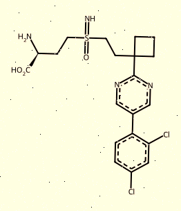 N=S(=O)(CC[C@H](N)C(=O)O)CCC1(c2ncc(-c3ccc(Cl)cc3Cl)cn2)CCC1